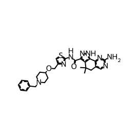 CC1(C)Cc2cnc(N)nc2-c2[nH]nc(C(=O)Nc3nc(COC4CCN(Cc5ccccc5)CC4)cs3)c21